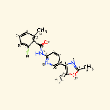 Cc1nc(-c2ccc(NC(=O)c3c(C)cccc3F)nc2)c(C)o1